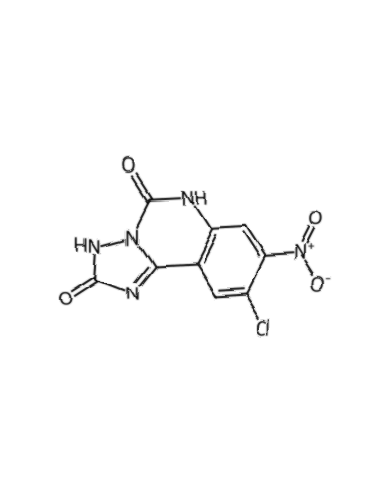 O=c1nc2c3cc(Cl)c([N+](=O)[O-])cc3[nH]c(=O)n2[nH]1